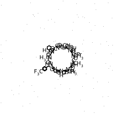 CC[C@H](C)[C@@H]1NC(=O)[C@H](CC(C)C)N(C)C(=O)C[C@@H](C)NC(=O)[C@H](CC(C)C)N(C)C(=O)C2(CCCC2)NC(=O)[C@@H]2CCCN2C(=O)[C@H](CCc2ccc(C(F)(F)F)cc2)NC(=O)CN(C)C(=O)[C@H](CC2CCCCC2)N(C)C(=O)CN(C)C(=O)CN(C)C1=O